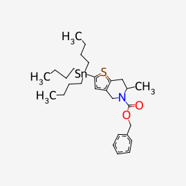 CCC[CH2][Sn]([CH2]CCC)([CH2]CCC)[c]1cc2c(s1)CC(C)N(C(=O)OCc1ccccc1)C2